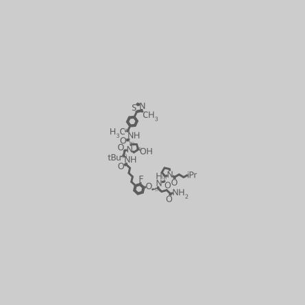 Cc1ncsc1-c1ccc([C@H](C)NC(=O)[C@@H]2C[C@@H](O)CN2C(=O)[C@@H](NC(=O)CCCCc2cccc(OC[C@H](CCC(N)=O)NC(=O)[C@@H]3CCCN3C(=O)CCC(C)C)c2F)C(C)(C)C)cc1